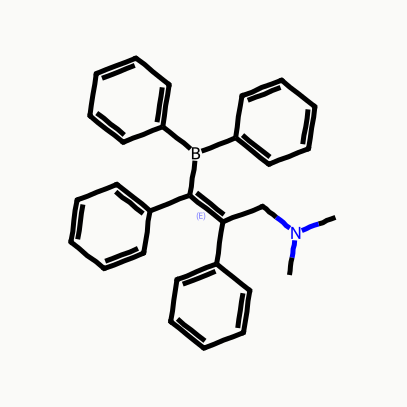 CN(C)C/C(=C(\B(c1ccccc1)c1ccccc1)c1ccccc1)c1ccccc1